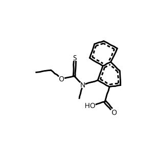 CCOC(=S)N(C)c1c(C(=O)O)ccc2ccccc12